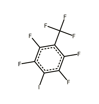 Fc1c(F)c(C(F)(F)F)c(F)c(F)c1I